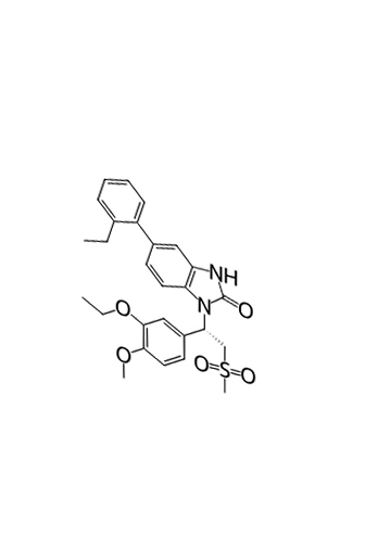 CCOc1cc([C@@H](CS(C)(=O)=O)n2c(=O)[nH]c3cc(-c4ccccc4CC)ccc32)ccc1OC